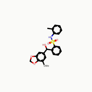 COc1cc(C(O)c2ccccc2S(=O)(=O)Nc2ccccc2C)cc2c1OCO2